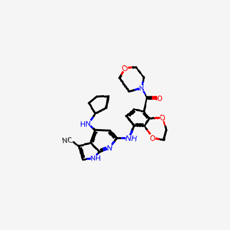 N#Cc1c[nH]c2nc(Nc3ccc(C(=O)N4CCOCC4)c4c3OCCO4)cc(NC3CCCC3)c12